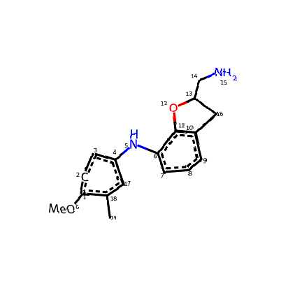 COc1ccc(Nc2cccc3c2OC(CN)C3)cc1C